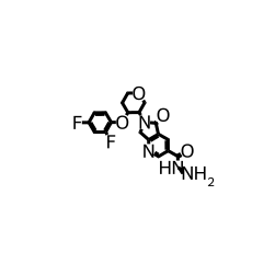 NNC(=O)c1cnc2c(c1)C(=O)N(C1COCCC1Oc1ccc(F)cc1F)C2